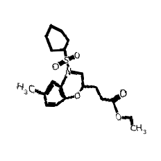 CCOC(=O)CCC1CN(S(=O)(=O)C2CCCCC2)c2cc(C)ccc2O1